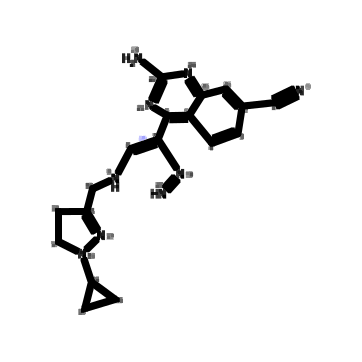 N#Cc1ccc2c(/C(=C/NCC3=NN(C4CC4)CC3)N=N)nc(N)nc2c1